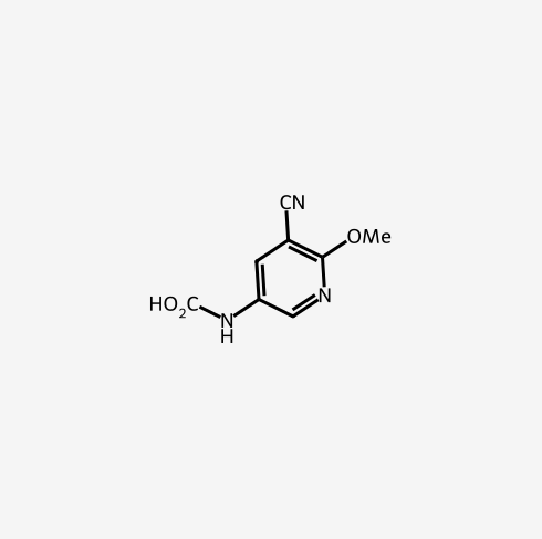 COc1ncc(NC(=O)O)cc1C#N